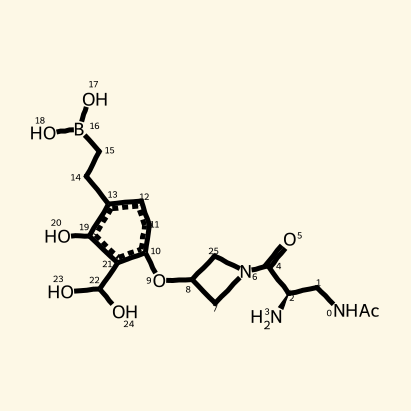 CC(=O)NC[C@@H](N)C(=O)N1CC(Oc2ccc(CCB(O)O)c(O)c2C(O)O)C1